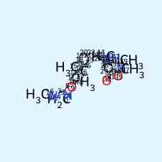 C=N/C(=C\C=N/CC)COc1ccc(C(C)(C)C2=CCC=C(C[C@H]3C[C@@H](Nc4ccc(C=O)c(C(=O)N(C)C(C)CCC)c4)C3)C=C2)cc1